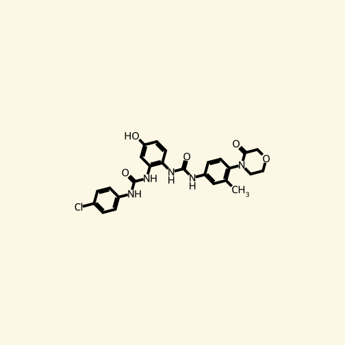 Cc1cc(NC(=O)Nc2ccc(O)cc2NC(=O)Nc2ccc(Cl)cc2)ccc1N1CCOCC1=O